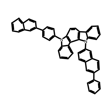 c1ccc(-c2ccc3cc(-n4c5ccccc5c5ccc6c(c7ccccc7n6-c6ccc(-c7ccc8ccccc8c7)cc6)c54)ccc3c2)cc1